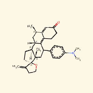 C=C1CCO[C@@]12CC[C@H]1[C@@H]3C[C@@H](C)C4=CC(=O)CCC4=C3C(c3ccc(N(C)C)cc3)C[C@@]12C